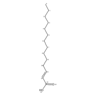 CCCCCCCCCCCC=CC(=O)O